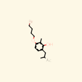 CC(=O)C(C)Cc1ccc(OCCCCBr)c(C)c1O